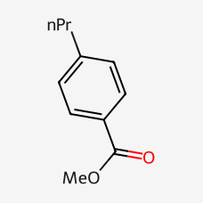 [CH2]CCc1ccc(C(=O)OC)cc1